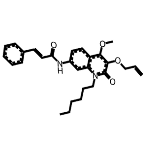 C=CCOc1c(OC)c2ccc(NC(=O)C=Cc3ccccc3)cc2n(CCCCCC)c1=O